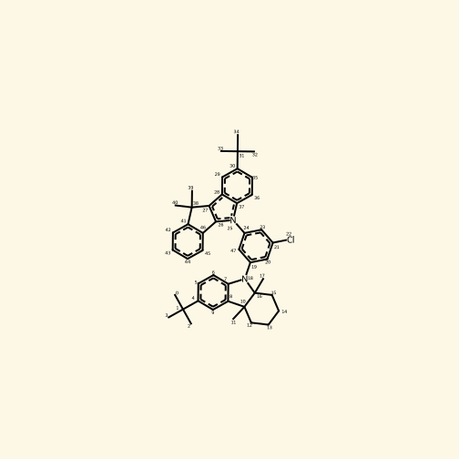 CC(C)(C)c1ccc2c(c1)C1(C)CCCCC1(C)N2c1cc(Cl)cc(-n2c3c(c4cc(C(C)(C)C)ccc42)C(C)(C)c2ccccc2-3)c1